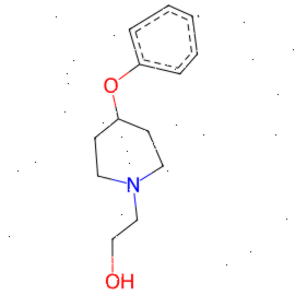 OCCN1CCC(Oc2cc[c]cc2)CC1